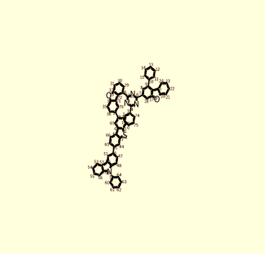 c1ccc(-c2nc(-c3cc(-c4ccccc4)c4c(c3)oc3ccccc34)nc(-c3cccc4oc5ccc(-c6ccc7sc8cc(-c9ccc%10c(c9)c9ccccc9n%10-c9ccccc9)ccc8c7c6)cc5c34)n2)cc1